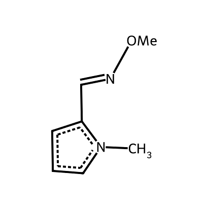 CON=Cc1cccn1C